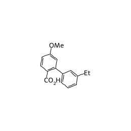 CCc1cccc(-c2cc(OC)ccc2C(=O)O)c1